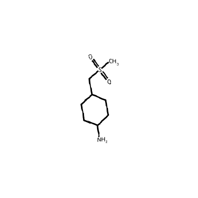 CS(=O)(=O)CC1CCC(N)CC1